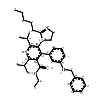 CCCCCC1=NCC[SH]1c1c(C(C)C)nc(C(C)C)c(C(=O)OCC)c1-c1cccc(OCc2ccccc2)c1